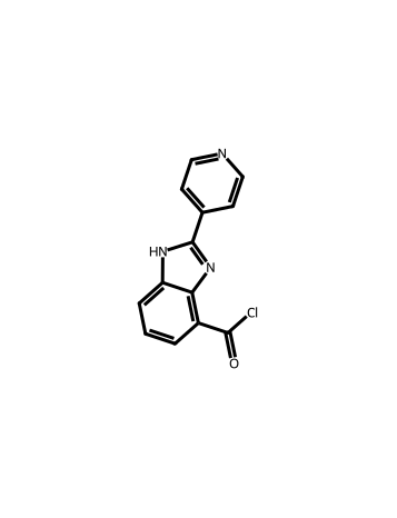 O=C(Cl)c1cccc2[nH]c(-c3ccncc3)nc12